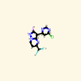 FC(F)c1ccn2nc(I)c(-c3cc(Cl)ncn3)c2n1